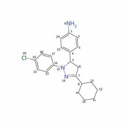 Nc1ccc(C2CC(C3CCCCC3)=NN2c2ccc(Cl)cc2)cc1